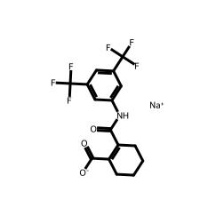 O=C([O-])C1=C(C(=O)Nc2cc(C(F)(F)F)cc(C(F)(F)F)c2)CCCC1.[Na+]